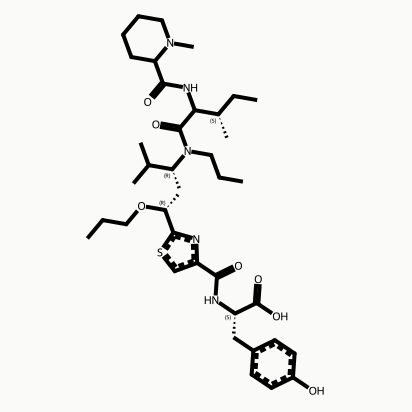 CCCO[C@H](C[C@H](C(C)C)N(CCC)C(=O)C(NC(=O)C1CCCCN1C)[C@@H](C)CC)c1nc(C(=O)N[C@@H](Cc2ccc(O)cc2)C(=O)O)cs1